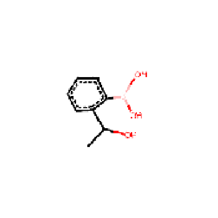 CC(O)c1ccccc1B(O)O